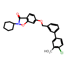 O=C(O)c1cc(-c2cccc(COc3ccc4c(=O)n(C5CCCCC5)oc4c3)c2)ccc1Cl